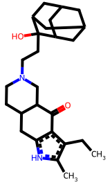 CCc1c(C)[nH]c2c1C(=O)C1CN(CCC3(O)C4CC5CC(C4)CC3C5)CCC1C2